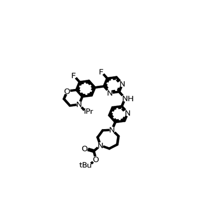 CC(C)N1CCOc2c(F)cc(-c3nc(Nc4ccc(N5CCCN(C(=O)OC(C)(C)C)CC5)cn4)ncc3F)cc21